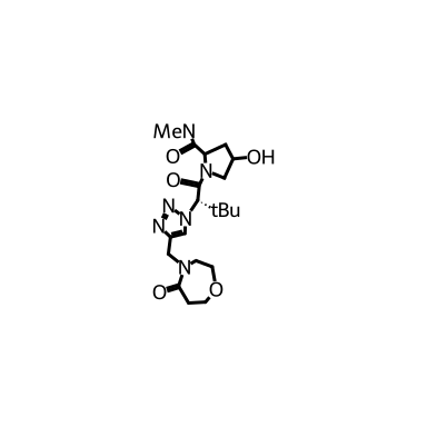 CNC(=O)C1CC(O)CN1C(=O)[C@@H](n1cc(CN2CCOCCC2=O)nn1)C(C)(C)C